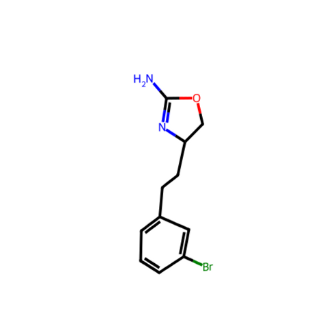 NC1=NC(CCc2cccc(Br)c2)CO1